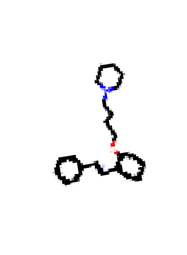 C(=C\c1ccccc1OCCCCN1CCCCC1)/c1ccccc1